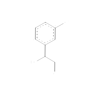 CC(CCl)c1cccc(F)c1